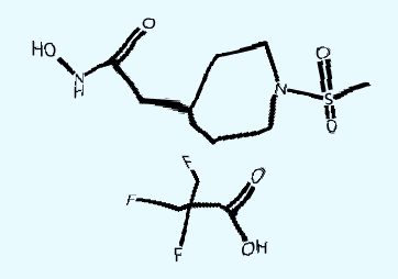 CS(=O)(=O)N1CCC(CC(=O)NO)CC1.O=C(O)C(F)(F)F